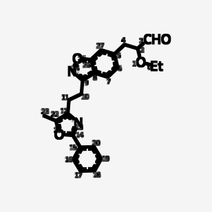 CCOC(C=O)Cc1ccc2c(CCc3nc(-c4ccccc4)oc3C)noc2c1